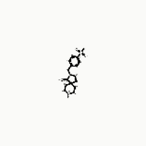 CS(=O)(=O)c1ccc(CN2CCC3(CCNCC3)C2=O)cc1